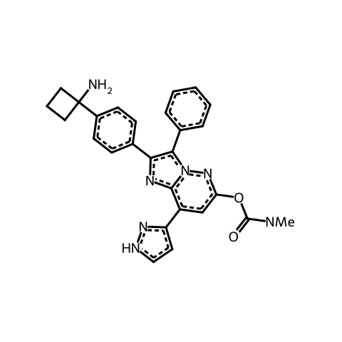 CNC(=O)Oc1cc(-c2cc[nH]n2)c2nc(-c3ccc(C4(N)CCC4)cc3)c(-c3ccccc3)n2n1